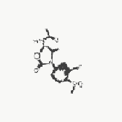 CC(=O)N[C@H]1OC(=O)N(c2ccc([S+](C)[O-])c(F)c2)C1C